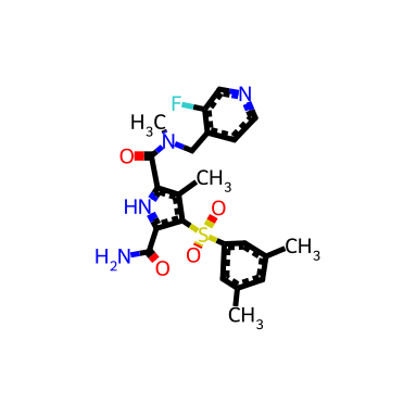 Cc1cc(C)cc(S(=O)(=O)c2c(C(N)=O)[nH]c(C(=O)N(C)Cc3ccncc3F)c2C)c1